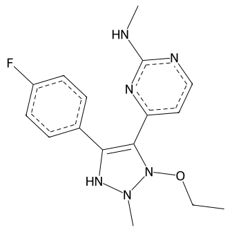 CCON1C(c2ccnc(NC)n2)=C(c2ccc(F)cc2)NN1C